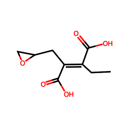 CCC(C(=O)O)=C(CC1CO1)C(=O)O